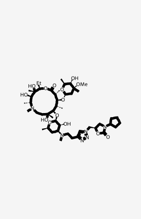 CC[C@H]1OC(=O)[C@H](C)[C@@H](O[C@H]2C[C@@](C)(OC)[C@@H](O)[C@H](C)O2)[C@H](C)[C@@H](O[C@@H]2O[C@H](C)C[C@H](N(C)CCc3cn(C[C@H]4CN(C5CCCC5)C(=O)O4)nn3)[C@H]2O)[C@](C)(O)CCN(C)[C@H](C)[C@@H](O)[C@]1(C)O